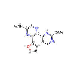 CSc1nccc(-c2ncc(NC(C)=O)nc2-c2ccco2)n1